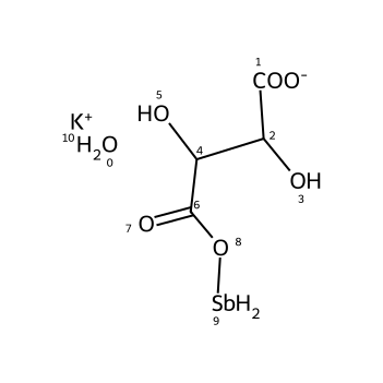 O.O=C([O-])C(O)C(O)C(=O)[O][SbH2].[K+]